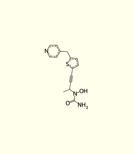 CC(C#Cc1ccc(Cc2ccncc2)s1)N(O)C(N)=O